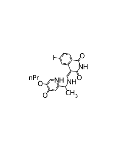 CCCOc1c[nH]c(C(C)NC=C2C(=O)NC(=O)c3ccc(I)cc32)cc1=O